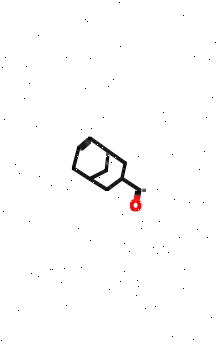 O=[C]C1CC2C=CCC(C1)C2